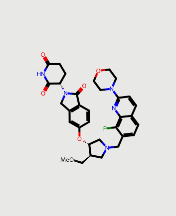 COC[C@@H]1CN(Cc2ccc3ccc(N4CCOCC4)nc3c2F)C[C@H]1Oc1ccc2c(c1)CN([C@H]1CCC(=O)NC1=O)C2=O